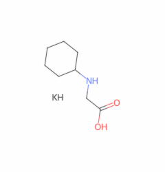 O=C(O)CNC1CCCCC1.[KH]